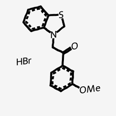 Br.COc1cccc(C(=O)CN2CSc3ccccc32)c1